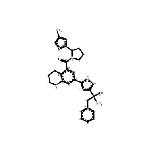 Cc1csc(C2CCCN2C(=O)c2cc(-c3nnc(C(C)(N)Cc4ccccc4)o3)cc3c2CCCO3)n1